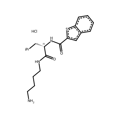 CC(C)C[C@H](NC(=O)c1cc2ccccc2s1)C(=O)NCCCCN.Cl